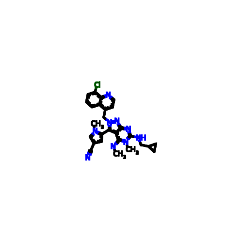 CN=c1c2c(-c3cc(C#N)cn3C)n(Cc3ccnc4c(Cl)cccc34)nc2nc(NCC2CC2)n1C